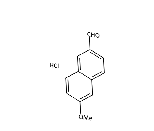 COc1ccc2cc(C=O)ccc2c1.Cl